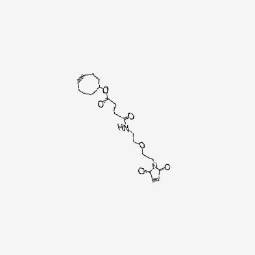 O=C(CCC(=O)OC1CCC#CCCC1)NCCOCCN1C(=O)C=CC1=O